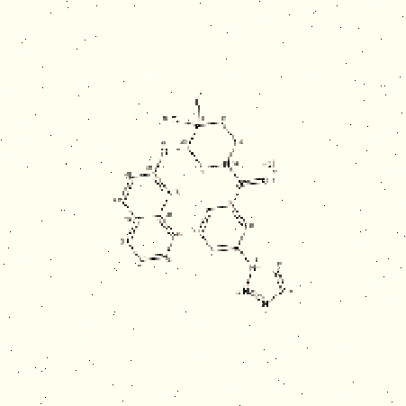 Cl.O=C(c1cccc(-n2ccnn2)c1)N1CCC(F)(F)[C@@H](Oc2ccc3ccccc3n2)C1